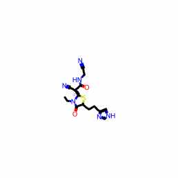 CCN1C(=O)C(CCc2c[nH]cn2)S/C1=C(/C#N)C(=O)NCC#N